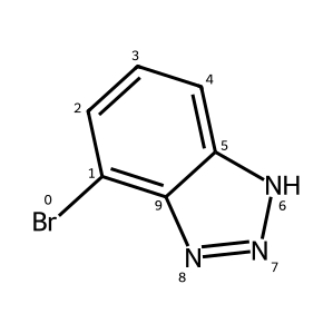 Brc1cccc2[nH]nnc12